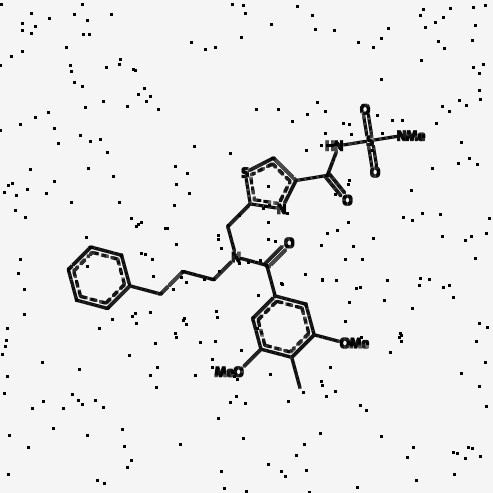 CNS(=O)(=O)NC(=O)c1csc(CN(CCCc2ccccc2)C(=O)c2cc(OC)c(C)c(OC)c2)n1